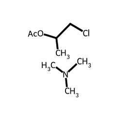 CC(=O)OC(C)CCl.CN(C)C